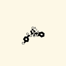 CN1CC(OC(=O)c2ccc(Cl)cc2)[N+]([O-])(c2nc3ccccc3s2)C1